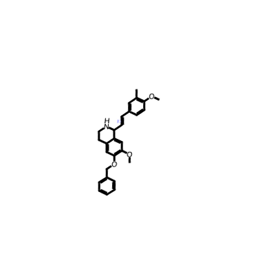 COc1ccc(/C=C/C2NCCc3cc(OCc4ccccc4)c(OC)cc32)cc1C